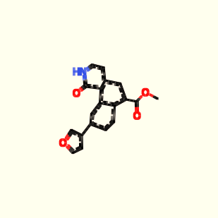 COC(=O)c1cc2cc[nH]c(=O)c2c2cc(-c3ccoc3)ccc12